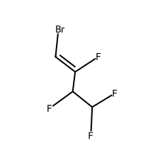 F/C(=C\Br)C(F)C(F)F